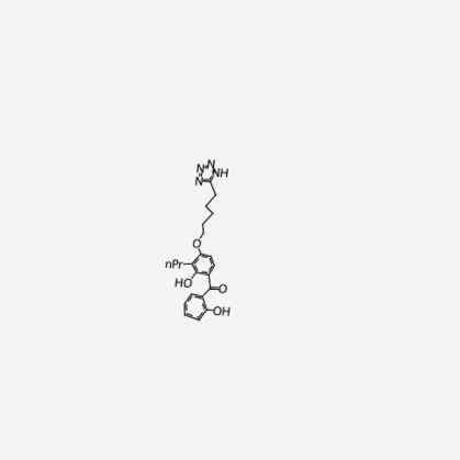 CCCc1c(OCCCCCc2nnn[nH]2)ccc(C(=O)c2ccccc2O)c1O